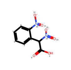 O=C(O)C(c1ccccc1[N+](=O)[O-])[N+](=O)[O-]